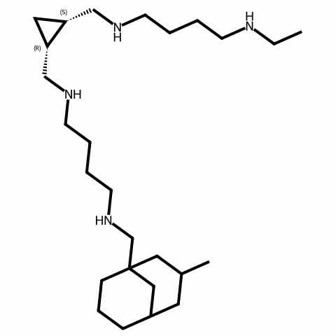 CCNCCCCNC[C@H]1C[C@H]1CNCCCCNCC12CCCC(CC(C)C1)C2